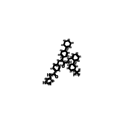 O=C(Nc1nn[nH]n1)c1ccc(CN(C(=O)NCc2ccccc2-c2cccc(C(F)(F)F)c2)c2ccc(C3=CCCCC3)cc2)cc1